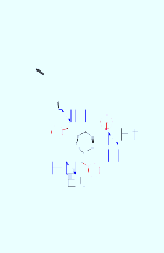 CC#CCC/C=C(\C)NC(=O)c1cc(C(=O)NCC)cc(C(=O)NCC)c1